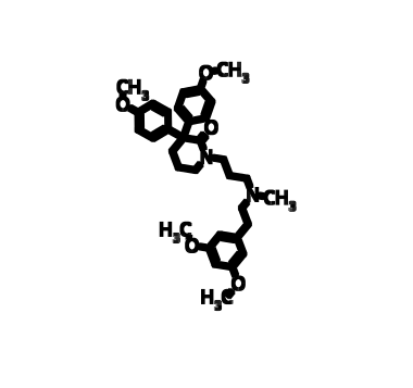 COc1ccc(C2(c3ccc(OC)cc3)CCCN(CCCN(C)CCc3cc(OC)cc(OC)c3)C2=O)cc1